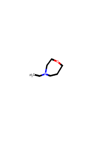 [CH2]CN1CCCOCC1